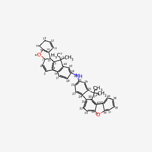 CC1(C)C2=C(C=CC3OC4=C(C=CCC4)C23)c2ccc(Nc3ccc4c(c3)C(C)(C)c3c-4ccc4oc5ccccc5c34)cc21